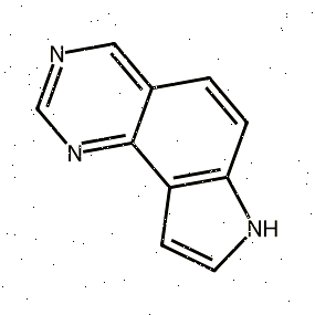 c1ncc2ccc3[nH]ccc3c2n1